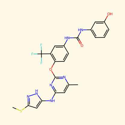 CSc1cc(Nc2cc(C)nc(Oc3ccc(NC(=O)Nc4cccc(O)c4)cc3C(F)(F)F)n2)[nH]n1